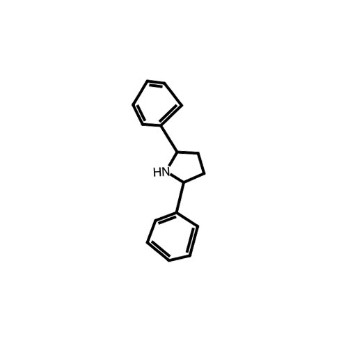 c1ccc(C2CCC(c3ccccc3)N2)cc1